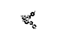 CCc1nc2ccc(N3CCC(N4CCSCC4)C3)nn2c1N(C)c1nc(-c2ccc(F)cc2)cs1